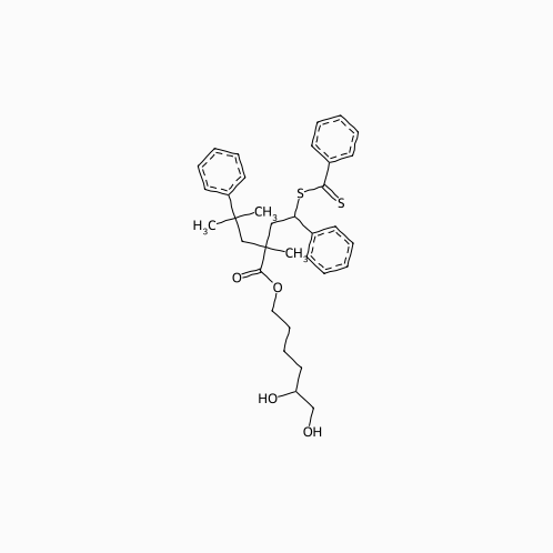 CC(CC(SC(=S)c1ccccc1)c1ccccc1)(CC(C)(C)c1ccccc1)C(=O)OCCCCC(O)CO